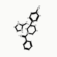 O=C(c1ccccc1)N1CCC[C@](CC2OCCO2)(c2ccc(Cl)cc2)C1